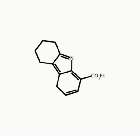 CCOC(=O)C1=C2N=C3CCCCC3=C2CC=C1